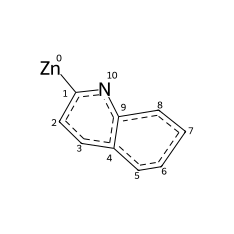 [Zn][c]1ccc2ccccc2n1